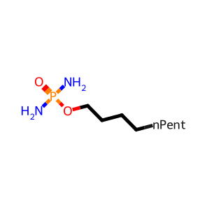 CCCCCCCCCOP(N)(N)=O